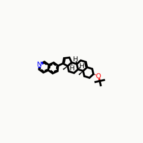 CC(C)(C)O[C@@H]1CC[C@@]2(C)C(=CC[C@@H]3[C@@H]2CC[C@]2(C)C(c4ccc5ccncc5c4)=CC[C@@H]32)C1